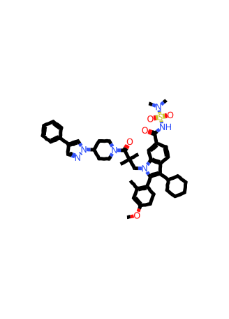 COC1=CC(C)=C(c2c(C3CCCCC3)c3ccc(C(=O)NS(=O)(=O)N(C)C)cc3n2CC(C)(C)C(=O)N2CCC(n3cc(-c4ccccc4)cn3)CC2)CC1